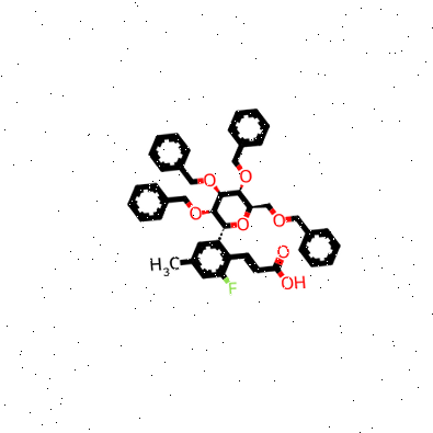 Cc1cc(F)c(/C=C/C(=O)O)c([C@H]2O[C@H](COCc3ccccc3)[C@@H](OCc3ccccc3)[C@H](OCc3ccccc3)[C@@H]2OCc2ccccc2)c1